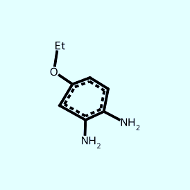 CCOc1ccc(N)c(N)c1